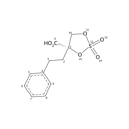 O=C(O)[C@]1(CCc2ccccc2)COS(=O)(=O)O1